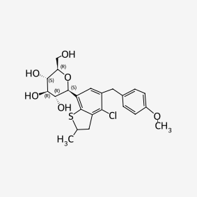 COc1ccc(Cc2cc([C@@H]3O[C@H](CO)[C@@H](O)[C@H](O)[C@H]3O)c3c(c2Cl)CC(C)S3)cc1